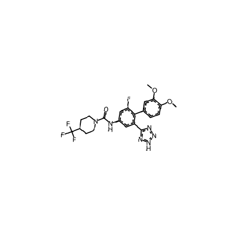 COc1ccc(-c2c(F)cc(NC(=O)N3CCC(C(F)(F)F)CC3)cc2-c2nn[nH]n2)cc1OC